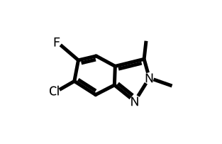 Cc1c2cc(F)c(Cl)cc2nn1C